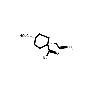 C=CC[C@]1(C(=O)CC)CC[C@H](C(=O)O)CC1